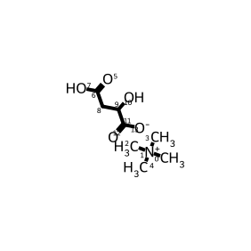 C[N+](C)(C)C.O=C(O)CC(O)C(=O)[O-]